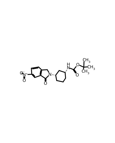 CC(C)(C)OC(=O)N[C@@H]1CCC[C@H](N2Cc3ccc([N+](=O)[O-])cc3C2=O)C1